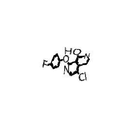 Oc1nccc2c(Cl)cnc(Oc3ccc(F)cc3)c12